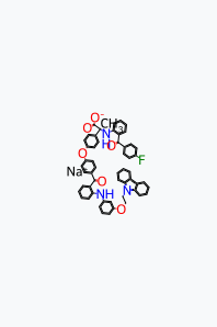 CC(Nc1ccccc1C(=O)c1ccc(F)cc1)(C(=O)[O-])c1ccc(Oc2ccc(C(=O)c3ccccc3Nc3cccc(OCCn4c5ccccc5c5ccccc54)c3)cc2)cc1.[Na+]